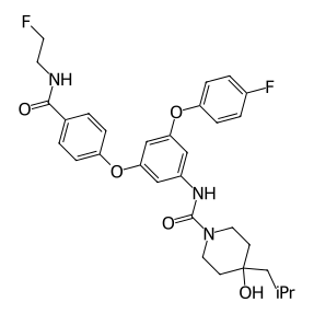 CC(C)CC1(O)CCN(C(=O)Nc2cc(Oc3ccc(F)cc3)cc(Oc3ccc(C(=O)NCCF)cc3)c2)CC1